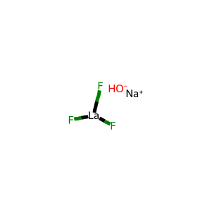 [F][La]([F])[F].[Na+].[OH-]